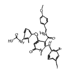 COc1ccc(CNC(=O)c2c(Oc3cccc(NC(=O)O)c3C)cc(=O)n(C)c2Nc2ccc(I)cc2F)cc1